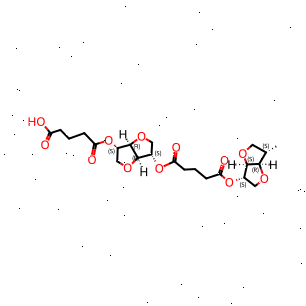 C[C@H]1CO[C@H]2[C@@H]1OC[C@@H]2OC(=O)CCCC(=O)O[C@H]1CO[C@H]2[C@@H]1OC[C@@H]2OC(=O)CCCC(=O)O